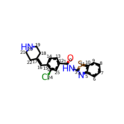 O=C(Nc1nc2ccccc2s1)c1ccc(C=C2CCNCC2)c(Cl)c1